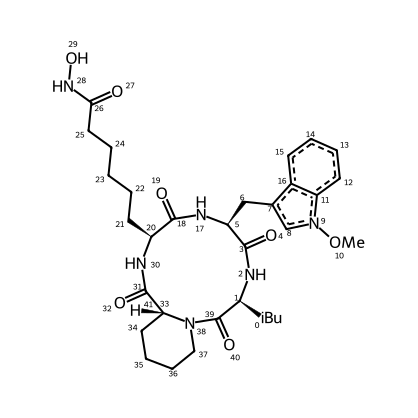 CCC(C)[C@@H]1NC(=O)[C@H](Cc2cn(OC)c3ccccc23)NC(=O)[C@H](CCCCCC(=O)NO)NC(=O)[C@H]2CCCCN2C1=O